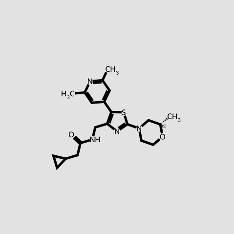 Cc1cc(-c2sc(N3CCO[C@@H](C)C3)nc2CNC(=O)CC2CC2)cc(C)n1